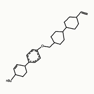 C=CC1CCC(C2CCC(COc3ccc(C4C=CC(CCCC)CC4)cc3)CC2)CC1